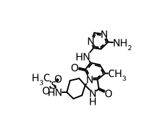 Cc1cc(Nc2cc(N)ncn2)c(=O)n2c1C(=O)NC21CCC(NS(C)(=O)=O)CC1